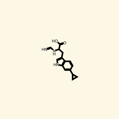 N=CNC(Cc1c[nH]c2cc(C3CC3)ccc12)C(=O)O